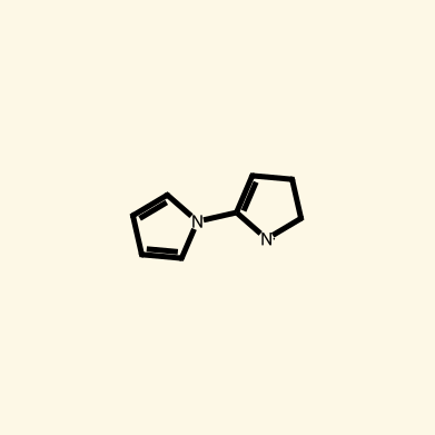 C1=C(n2cccc2)[N]CC1